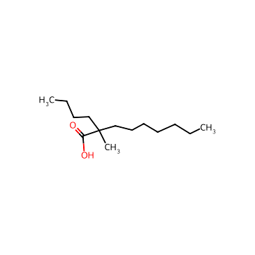 CCCCCCCC(C)(CCCC)C(=O)O